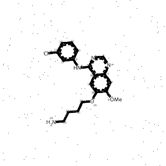 COc1cc2ncnc(Nc3[c]ccc(Cl)c3)c2cc1OCCCCN